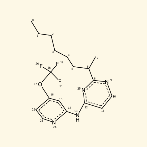 CCCCCCC(C)c1nccc(Nc2cc(OC(F)(F)F)ccn2)n1